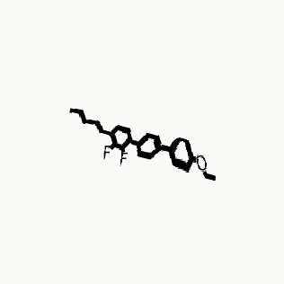 CCCCCc1ccc(-c2ccc(-c3ccc(OCC)cc3)cc2)c(F)c1F